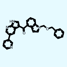 O=C(c1c[nH]c2ncc(-c3cccnc3)cc12)c1cccc2c1ccn2COCc1ccccc1